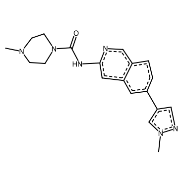 CN1CCN(C(=O)Nc2cc3cc(-c4cnn(C)c4)ccc3cn2)CC1